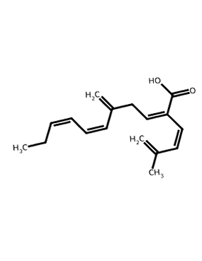 C=C(C)/C=C\C(=C\CC(=C)/C=C\C=C/CC)C(=O)O